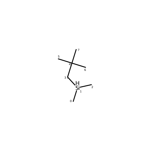 C[SiH](C)[CH]C(C)(C)C